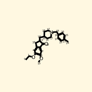 CCOc1cc2c(cc1OC)C(=O)C(CC1CCN(Cc3ccc(C)cc3)CC1)C2